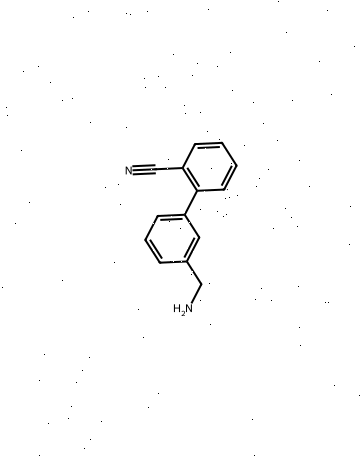 N#Cc1ccc[c]c1-c1cccc(CN)c1